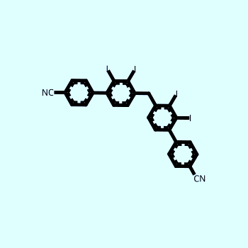 N#Cc1ccc(-c2ccc(Cc3ccc(-c4ccc(C#N)cc4)c(I)c3I)c(I)c2I)cc1